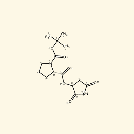 CC(C)(C)OC(=O)N1CCC[C@H]1C(=O)OC1CC(=O)NC1=O